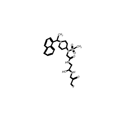 CC(c1cccc2ccccc12)N1CCC(N(CC(=O)NCC(O)NCC(=O)CF)S(C)(=O)=O)CC1